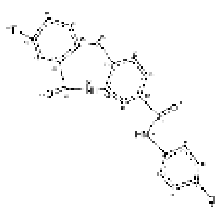 O=C(Nc1ccc(Cl)cc1)c1ccc2c(c1)NC(=O)c1cc(F)ccc1S2